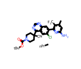 CCCC.Cc1cc(N)nc(-c2cc3ncnc(C4(C#N)CCN(C(=O)OC(C)(C)C)CC4)c3cc2Cl)c1C(F)(F)F